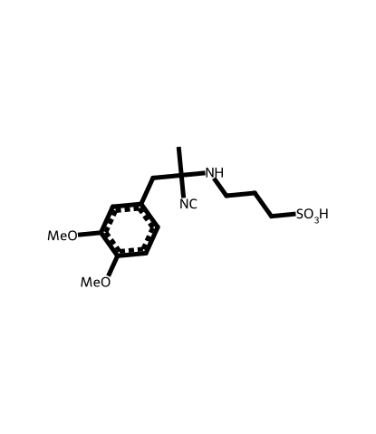 [C-]#[N+]C(C)(Cc1ccc(OC)c(OC)c1)NCCCS(=O)(=O)O